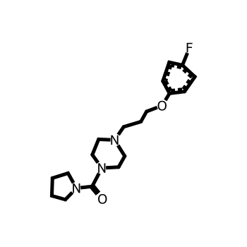 O=C(N1CCCC1)N1CCN(CCCOc2ccc(F)cc2)CC1